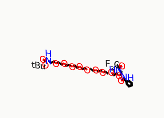 CC(C)(C)OC(=O)NCCOCCOCCOCCOCCOCCOCCOCCOCCOC(CNC(=O)C(F)(F)F)NC(=O)c1ccccc1